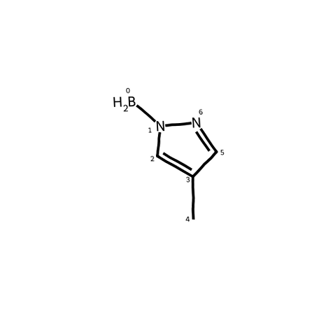 Bn1cc(C)cn1